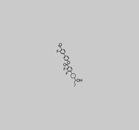 CCCC(O)C1CCC(c2ccc(C(=O)Oc3ccc(-c4ccc(C5CO5)c(F)c4)cc3)c(F)c2F)CC1